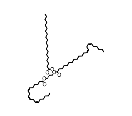 CCCCC/C=C\C/C=C\C/C=C\CCCCC(=O)OC[C@H](COC(=O)CCCCCCCCCCC/C=C\C/C=C\CCCCC)OC(=O)CCCCCCCCCCCCCCCCCCC